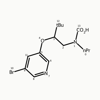 CCCN(CC(Oc1cncc(Br)c1)C(C)(C)C)C(=O)O